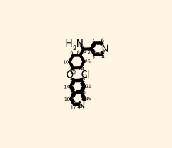 NC(c1ccncc1)C1CCC(Oc2cc3ccncc3cc2Cl)CC1